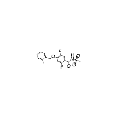 Cc1ccccc1COc1cc(F)c(C(=O)NS(C)(=O)=O)cc1F